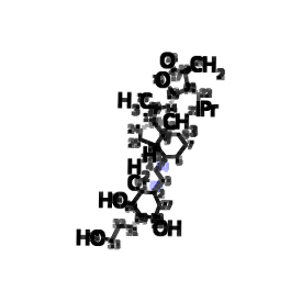 C=C1/C(=C\C=C2/CCC[C@]3(C)[C@@H]([C@H](C)C[C@@H]4OC(=O)C(=C)[C@@H]4CC(C)C)CC[C@@H]23)C[C@@H](O)[C@H](CCCO)[C@@H]1O